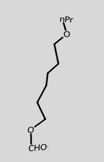 CCCOCCCCCCO[C]=O